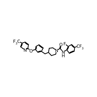 O=C(Nc1ccc(C(F)(F)F)cc1F)N1CCC(Cc2cccc(Oc3ccc(C(F)(F)F)cn3)c2)CC1